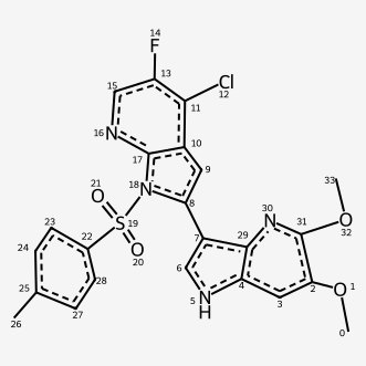 COc1cc2[nH]cc(-c3cc4c(Cl)c(F)cnc4n3S(=O)(=O)c3ccc(C)cc3)c2nc1OC